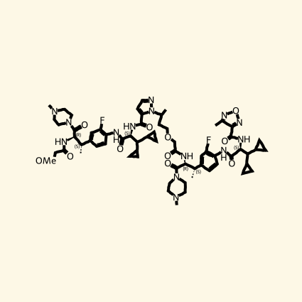 COCC(=O)N[C@@H](C(=O)N1CCN(C)CC1)[C@@H](C)c1ccc(NC(=O)[C@@H](NC(=O)c2ccnn2C(C)CCOCC(=O)N[C@@H](C(=O)N2CCN(C)CC2)[C@@H](C)c2ccc(NC(=O)[C@@H](NC(=O)c3nonc3C)C(C3CC3)C3CC3)c(F)c2)C(C2CC2)C2CC2)c(F)c1